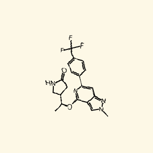 CC(Oc1nc(-c2ccc(C(F)(F)F)cc2)cc2nn(C)cc12)C1CNC(=O)C1